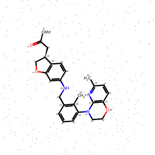 COC(=O)C[C@@H]1COc2cc(NCc3cccc(N4CCOc5ccc(C)nc54)c3C)ccc21